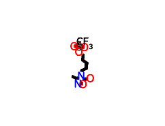 Cc1noc(=O)n1C/C=C\CCOS(=O)(=O)C(F)(F)F